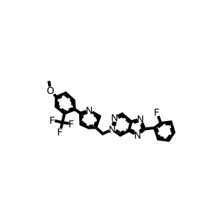 COc1ccc(-c2ccc(Cn3cc4nc(-c5ccccc5F)nc-4cn3)cn2)c(C(F)(F)F)c1